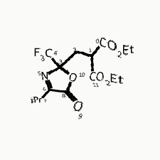 CCOC(=O)C(CC1(C(F)(F)F)N=C(C(C)C)C(=O)O1)C(=O)OCC